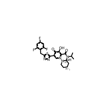 CC(C)N1C(=O)c2c(O)c(=O)c(-c3nnc(Cc4c(F)cc(F)cc4F)s3)cn2N2CC[C@@H](C)C[C@@H]12